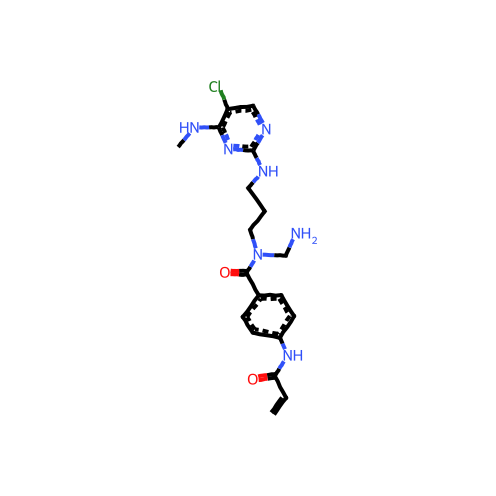 C=CC(=O)Nc1ccc(C(=O)N(CN)CCCNc2ncc(Cl)c(NC)n2)cc1